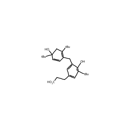 CC(C)(C)C1=C(Cc2cc(CCC(=O)O)cc(C(C)(C)C)c2O)C=CC(O)(C(C)(C)C)C1